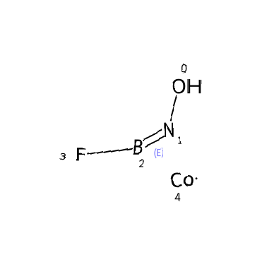 O/N=B/F.[Co]